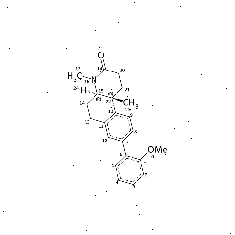 COc1ccccc1-c1ccc2c(c1)CC[C@H]1N(C)C(=O)CC[C@]21C